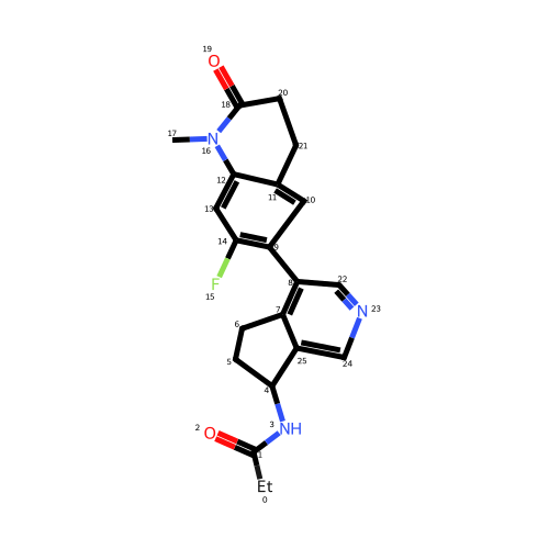 CCC(=O)NC1CCc2c(-c3cc4c(cc3F)N(C)C(=O)CC4)cncc21